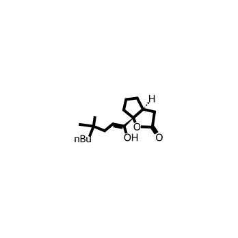 CCCCC(C)(C)CC=C(O)[C@@]12CCC[C@H]1CC(=O)O2